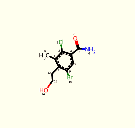 Cc1c(Cl)c(C(N)=O)cc(Br)c1CCO